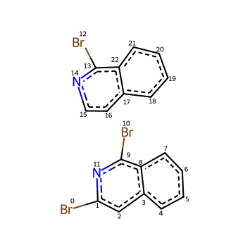 Brc1cc2ccccc2c(Br)n1.Brc1nccc2ccccc12